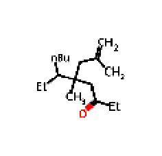 C=C(C)CC(C)(CC(=O)CC)C(CC)CCCC